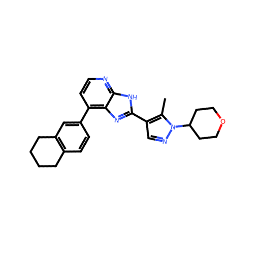 Cc1c(-c2nc3c(-c4ccc5c(c4)CCCC5)ccnc3[nH]2)cnn1C1CCOCC1